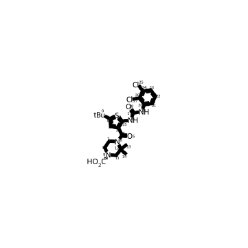 CC(C)(C)c1cc(C(=O)N2CCN(C(=O)O)CC2(C)C)c(NC(=O)Nc2cccc(Cl)c2Cl)s1